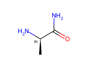 C[C@@H](N)C(N)=O